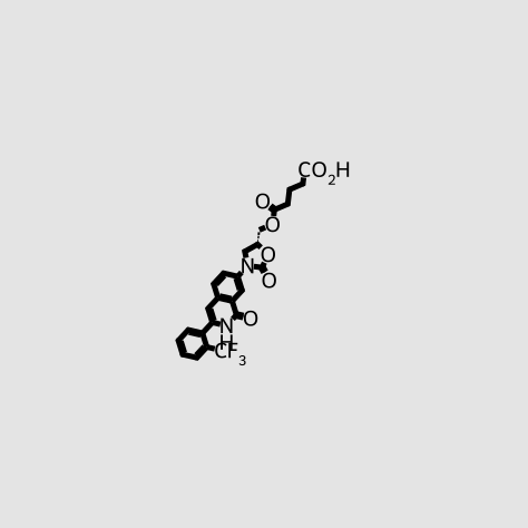 O=C(O)CCCC(=O)OC[C@H]1CN(c2ccc3cc(-c4ccccc4C(F)(F)F)[nH]c(=O)c3c2)C(=O)O1